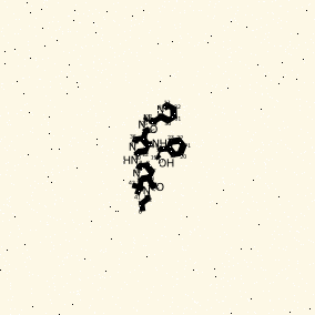 CCCN1C(=O)c2ccc(Nc3cc(N[C@H](CO)c4ccccc4)c(-c4nnc(-c5ccccn5)o4)cn3)nc2C1(C)C